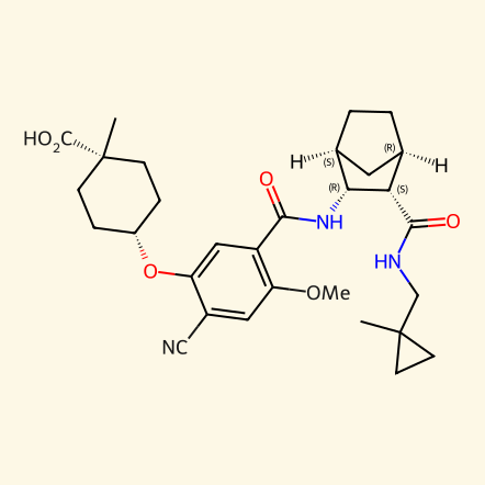 COc1cc(C#N)c(O[C@H]2CC[C@@](C)(C(=O)O)CC2)cc1C(=O)N[C@@H]1[C@H]2CC[C@H](C2)[C@@H]1C(=O)NCC1(C)CC1